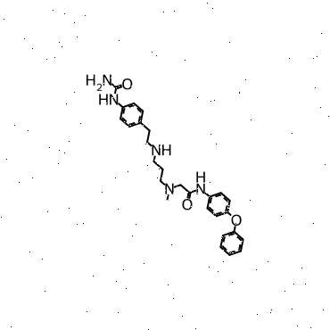 CN(CCCNCCc1ccc(NC(N)=O)cc1)CC(=O)Nc1ccc(Oc2ccccc2)cc1